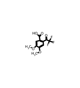 COc1cc(C(=O)O)c(C(=O)C(F)(F)F)cc1OC